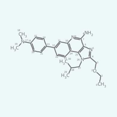 CCOCc1nc2c(N)nc3cc(-c4ccc(N(C)C)cc4)ccc3c2n1CC(C)C